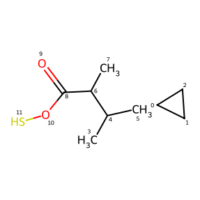 C1CC1.CC(C)C(C)C(=O)OS